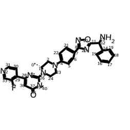 C[C@@H]1CN(c2ccc(-c3noc(C(N)c4ccccc4)n3)cc2)CCN1c1nc(-c2ccncc2F)cc(=O)n1C